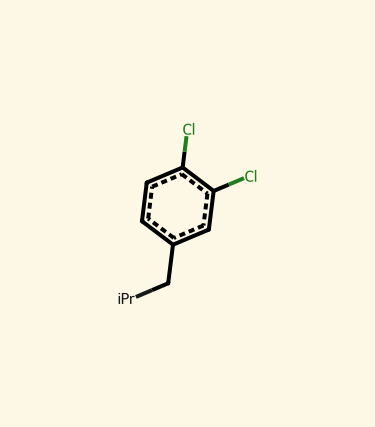 [CH2]C(C)Cc1ccc(Cl)c(Cl)c1